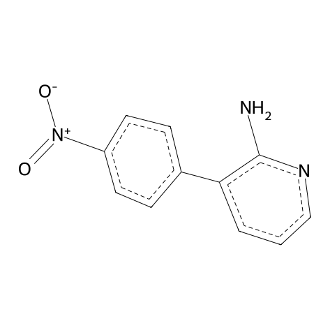 Nc1ncccc1-c1ccc([N+](=O)[O-])cc1